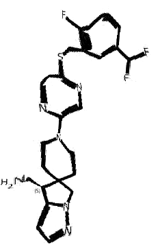 N[C@@H]1c2ccnn2CC12CCN(c1cnc(Sc3cc(C(F)F)ccc3F)cn1)CC2